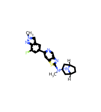 CN(c1nc2cnc(-c3cc(F)c4nn(C)cc4c3)cc2s1)[C@@H]1C[C@H]2CC[C@@H](C1)N2